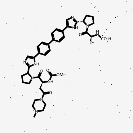 COC(=O)N[C@@H](CC(=O)N1CCN(C)CC1)C(=O)N1CCCC1c1ncc(-c2ccc(-c3ccc(-c4cnc([C@@H]5CCCN5C(=O)[C@@H](NC(=O)O)C(C)C)[nH]4)cc3)cc2)[nH]1